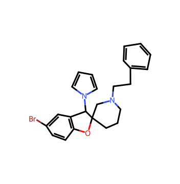 Brc1ccc2c(c1)C(n1cccc1)C1(CCCN(CCc3ccccc3)C1)O2